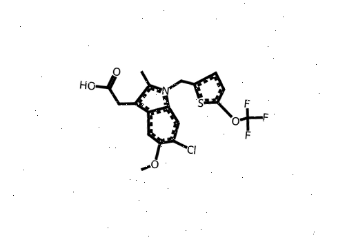 COc1cc2c(CC(=O)O)c(C)n(Cc3ccc(OC(F)(F)F)s3)c2cc1Cl